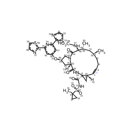 C[C@H]1CC/C=C\[C@@H]2C[C@@]2(C(=O)NS(=O)(=O)C2(C)CC2)NC(=O)[C@@H]2C[C@@H](Oc3cc(-c4nccs4)nc(-c4nccs4)c3)CN2C(=O)[C@@H](NC(=O)O)[C@H](C)C1